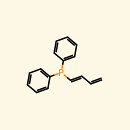 C=CC=CP(c1ccccc1)c1ccccc1